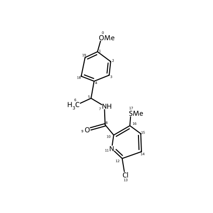 COc1ccc(C(C)NC(=O)c2nc(Cl)ccc2SC)cc1